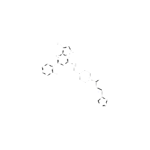 O=C(/C=C/c1ccsc1)N1CCC(CNc2cc(-c3ccccc3Cl)nc3c(Br)cnn23)CC1